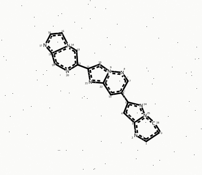 c1cnc2cc(-c3cnn4cc(-c5cn6ccnc6cn5)nc4c3)nn2c1